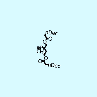 CCCCCCCCCCCC(=O)OCCCCOC(=O)CCCCCCCCCCC.[CH2]CC[CH2]